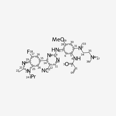 C=CC(=O)Nc1cc(Nc2ncc(C#N)c(-c3cc(F)c4nc(C)n(C(C)C)c4c3)n2)c(OC)cc1N(C)CCN(C)C